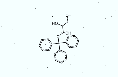 OCC(O)C(O)OC(c1ccccc1)(c1ccccc1)c1ccccc1